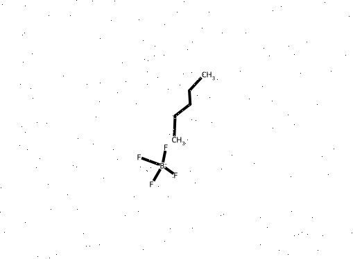 C[CH]CCC.F[B-](F)(F)F